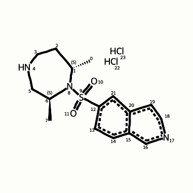 C[C@H]1CCNC[C@H](C)N1S(=O)(=O)c1ccc2cnccc2c1.Cl.Cl